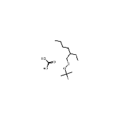 CCCCC(CC)COOC(C)(C)C.O=C(O)O